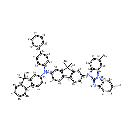 Cc1ccc2nc3n(-c4ccc5c(c4)C(C)(C)c4cc(N(c6ccc(-c7ccccc7)cc6)c6ccc7c(c6)C(C)(C)c6ccccc6-7)ccc4-5)c4ccc(C)cc4n3c2c1